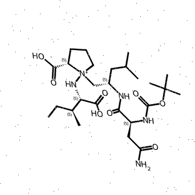 CC[C@H](C)[C@H](N[N+]1(C[C@H](CC(C)C)NC(=O)[C@H](CC(N)=O)NC(=O)OC(C)(C)C)CCC[C@H]1C(=O)O)C(=O)O